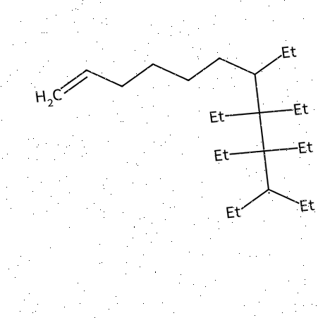 C=CCCCCC(CC)C(CC)(CC)C(CC)(CC)[C](CC)CC